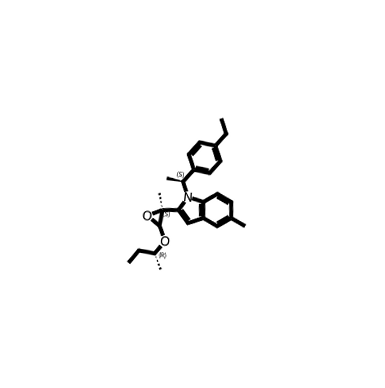 CCc1ccc([C@H](C)n2c([C@]3(C)OC3O[C@H](C)CC)cc3cc(C)ccc32)cc1